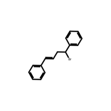 BrC(CC=Cc1ccccc1)c1ccccc1